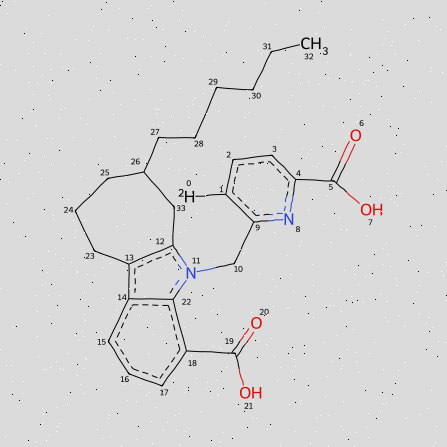 [2H]c1ccc(C(=O)O)nc1Cn1c2c(c3cccc(C(=O)O)c31)CCCC(CCCCCC)C2